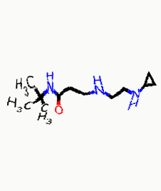 CC(C)(C)NC(=O)CCNCCNC1CC1